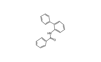 O=C(Nc1ccccc1-c1[c]cccc1)c1ccccc1